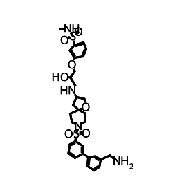 CNS(=O)(=O)c1cccc(OCC(O)CNC2COC3(CCN(S(=O)(=O)c4cccc(-c5cccc(CN)c5)c4)CC3)C2)c1